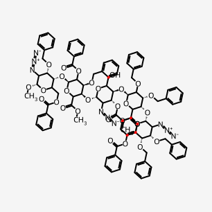 COC(=O)C1O[C@@H](O[C@@H]2C(CO)O[C@@H](O[C@H]3C(C(=O)OC)O[C@@H](O[C@@H]4C(COC(=O)c5ccccc5)O[C@H](OC)C(N=[N+]=[N-])[C@@H]4OCc4ccccc4)C(OC(=O)c4ccccc4)[C@H]3OCc3ccccc3)C(N=[N+]=[N-])[C@H]2OC(=O)c2ccccc2)C(OCc2ccccc2)[C@H](OCc2ccccc2)[C@@H]1O[C@H]1OC(COC(=O)c2ccccc2)[C@@H](OCc2ccccc2)[C@@H](OCc2ccccc2)C1N=[N+]=[N-]